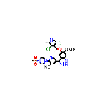 COc1cc(N)c(C(=N)c2cnc(N3CCN(S(C)(=O)=O)CC3)c(C#N)c2)cc1O[C@H](C)c1c(Cl)cnc(C)c1Cl